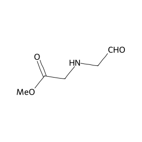 COC(=O)CNCC=O